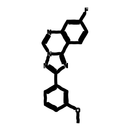 COc1cccc(-c2nc3c4ccc(F)cc4ncn3n2)c1